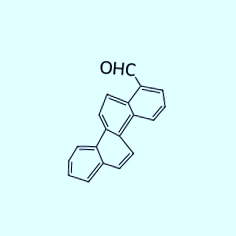 O=Cc1cccc2c1ccc1c3ccccc3ccc21